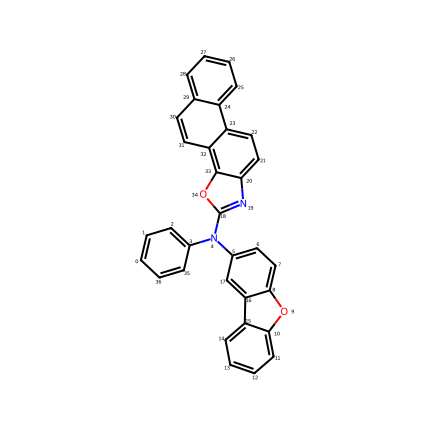 c1ccc(N(c2ccc3oc4ccccc4c3c2)c2nc3ccc4c5ccccc5ccc4c3o2)cc1